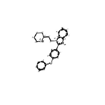 c1ccc(Oc2ccc(-c3nc4ccccc4n3CCC3CCCCN3)cc2)cc1